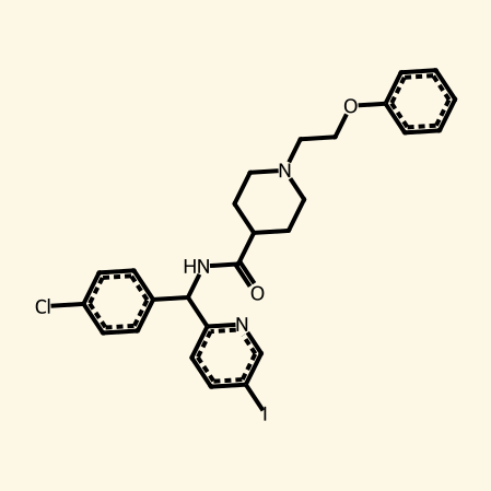 O=C(NC(c1ccc(Cl)cc1)c1ccc(I)cn1)C1CCN(CCOc2ccccc2)CC1